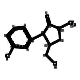 O=C1C(c2cccc(Cl)c2)C(CCl)CN1C(F)(F)F